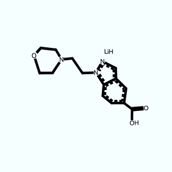 O=C(O)c1ccc2c(cnn2CCN2CCOCC2)c1.[LiH]